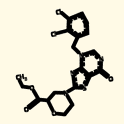 CCOC(=O)C1CN(c2nc3c(s2)c(=O)ncn3Cc2cccc(Cl)c2Cl)CCO1